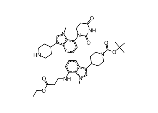 CCOC(=O)CCNc1cccc2c(C3CCN(C(=O)OC(C)(C)C)CC3)cn(C)c12.Cn1cc(C2CCNCC2)c2cccc(N3CCC(=O)NC3=O)c21